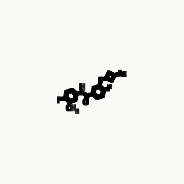 CC(=O)C1CC(Sc2cc(C(=O)Nc3ccc(F)c(C)c3)ccc2F)C1